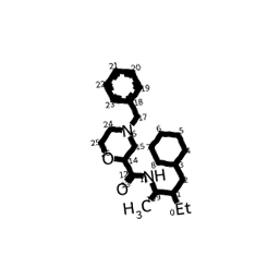 CCC(CC1CCCCC1)C(C)NC(=O)C1CN(Cc2ccccc2)CCO1